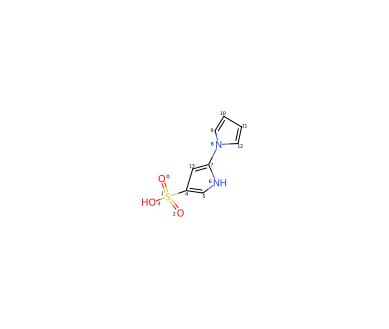 O=S(=O)(O)c1c[nH]c(-n2cccc2)c1